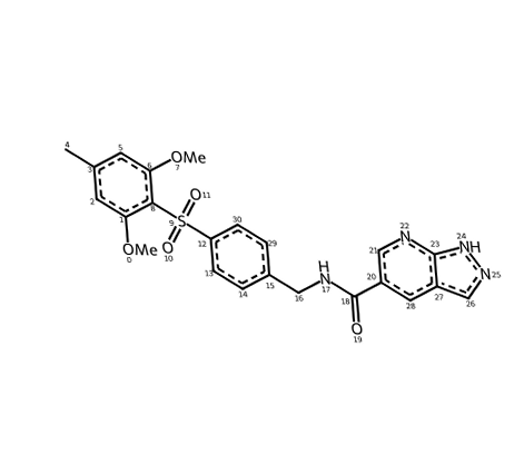 COc1cc(C)cc(OC)c1S(=O)(=O)c1ccc(CNC(=O)c2cnc3[nH]ncc3c2)cc1